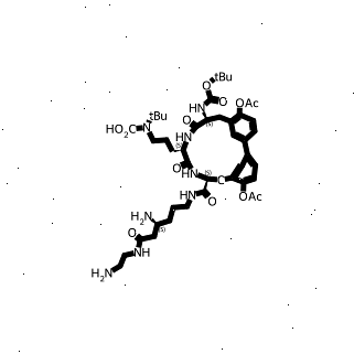 CC(=O)Oc1ccc2cc1C[C@H](NC(=O)OC(C)(C)C)C(=O)N[C@@H](CCCN(C(=O)O)C(C)(C)C)C(=O)N[C@H](C(=O)NCCC[C@H](N)CC(=O)NCCN)Cc1cc-2ccc1OC(C)=O